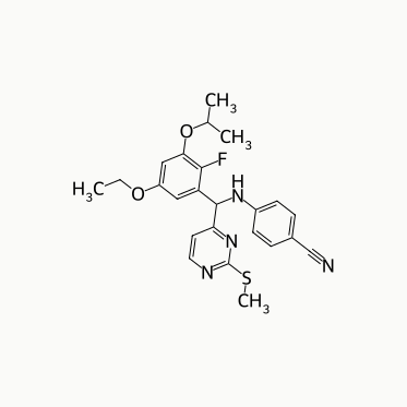 CCOc1cc(OC(C)C)c(F)c(C(Nc2ccc(C#N)cc2)c2ccnc(SC)n2)c1